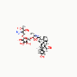 CC[C@@H](O)[C@@H](O)[C@@H](N)COC1OC(COC(=O)[C@@H](NC(=O)CC[C@@H](C)C2CCC3C4C(CC[C@@]32C)[C@@]2(C)CC[C@@H](O)CC2C[C@H]4O)C(C)C)C(O)C(O)C1O